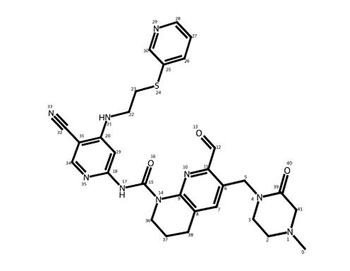 CN1CCN(Cc2cc3c(nc2C=O)N(C(=O)Nc2cc(NCCSc4cccnc4)c(C#N)cn2)CCC3)C(=O)C1